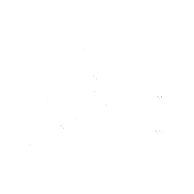 COc1ccc(C(=O)Nc2ccccc2CCC2CCCCN2C)cc1OC